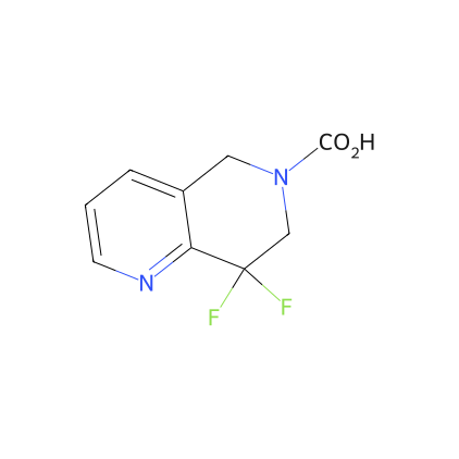 O=C(O)N1Cc2cccnc2C(F)(F)C1